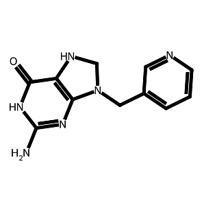 Nc1nc2c(c(=O)[nH]1)NCN2Cc1cccnc1